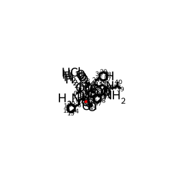 CC(=O)N(C(=O)[C@@H](N)Cc1ccccc1)[C@](CC(C)C)(C(=O)N[C@@H](CC1CCCCC1)[C@@H](O)CC(=O)NCC(C)C)C1CS(=O)(=O)c2ccc(CN)cc21.Cl.O.O.O